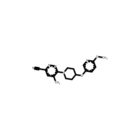 COc1ccc(OC2CCN(c3nnc(C#N)cc3C)CC2)cn1